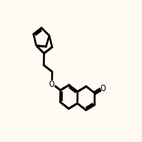 O=C1C=CC2CC=C(OCCC3CC4C=CC3C4)C=C2C1